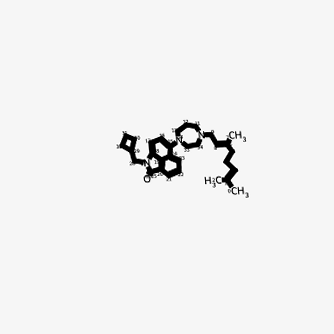 CC(C)=CCC/C(C)=C/CN1CCCN(c2ccc3c4c(cccc24)C(=O)N3CC2CCC2)CC1